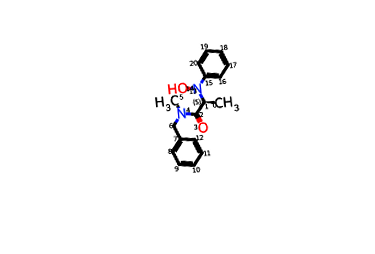 C[C@@H](C(=O)N(C)Cc1ccccc1)N(O)c1ccccc1